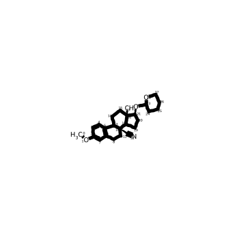 COc1ccc2c(c1)CC[C@]1(C#N)C2CC[C@@]2(C)C1CC[C@@H]2OC1CCCCO1